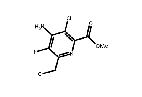 COC(=O)c1nc(CCl)c(F)c(N)c1Cl